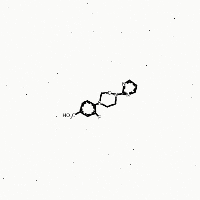 O=C(O)c1ccc(N2CCN(c3ncccn3)CC2)c(F)c1